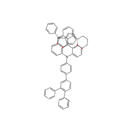 c1ccc(-c2ccc(-c3ccc(N(c4ccccc4-c4cccc5cccc(C6CCCCC6)c45)c4cccc5c4c4ccccc4n5-c4ccccc4)cc3)cc2-c2ccccc2)cc1